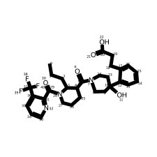 CCCC1C(C(=O)N2CCC(O)(c3ccccc3CCC(=O)O)CC2)CCCN1C(=O)c1ncccc1C(F)(F)F